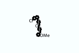 COc1ccccc1CN1CCN(C(=O)CN2CCN(c3cccc4ccc(Cl)cc34)CC2)CC1